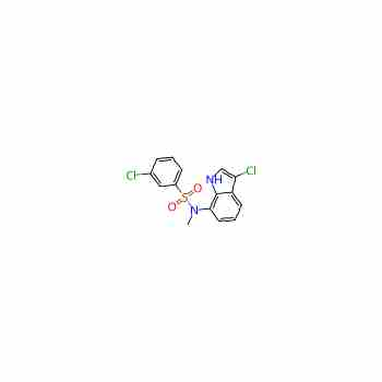 CN(c1cccc2c(Cl)c[nH]c12)S(=O)(=O)c1cccc(Cl)c1